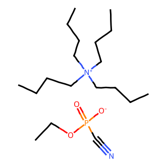 CCCC[N+](CCCC)(CCCC)CCCC.CCOP(=O)([O-])C#N